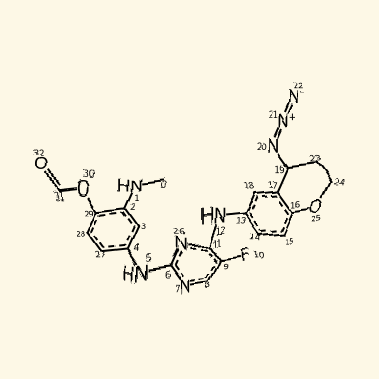 CNc1cc(Nc2ncc(F)c(Nc3ccc4c(c3)C(N=[N+]=[N-])CCO4)n2)ccc1OC=O